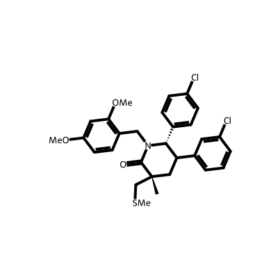 COc1ccc(CN2C(=O)[C@@](C)(CSC)CC(c3cccc(Cl)c3)[C@H]2c2ccc(Cl)cc2)c(OC)c1